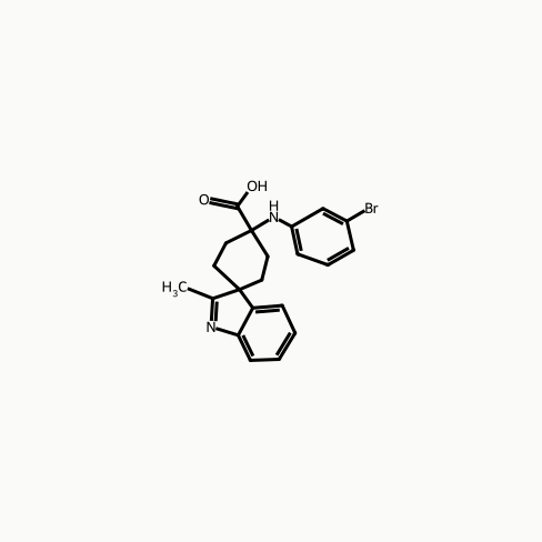 CC1=Nc2ccccc2C12CCC(Nc1cccc(Br)c1)(C(=O)O)CC2